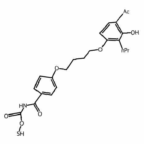 CCCc1c(OCCCCOc2ccc(C(=O)NC(=O)OS)cc2)ccc(C(C)=O)c1O